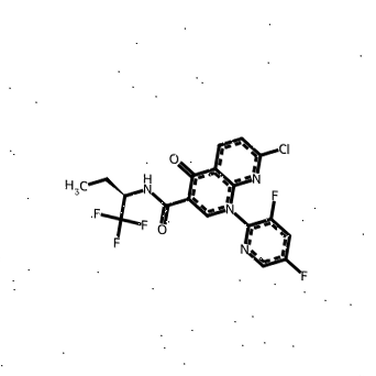 CC[C@@H](NC(=O)c1cn(-c2ncc(F)cc2F)c2nc(Cl)ccc2c1=O)C(F)(F)F